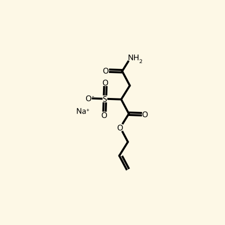 C=CCOC(=O)C(CC(N)=O)S(=O)(=O)[O-].[Na+]